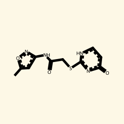 Cc1cc(NC(=O)CSc2nc(=O)cc[nH]2)no1